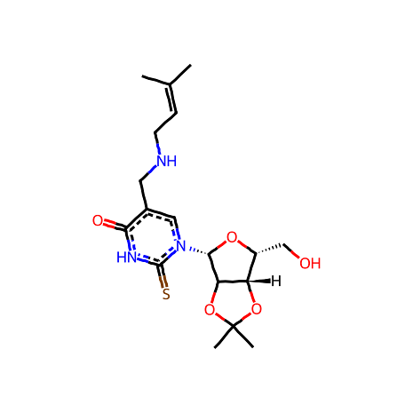 CC(C)=CCNCc1cn([C@@H]2O[C@H](CO)[C@@H]3OC(C)(C)OC32)c(=S)[nH]c1=O